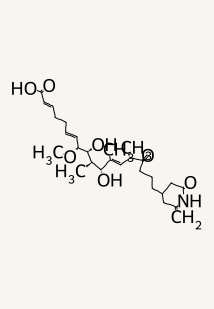 C=C1CC(CCCC(=O)[C@@H](C)/C=C(\C)[C@H](O)[C@@H](C)[C@H](O)[C@H](/C=C/CC/C=C/C(=O)O)OC)CC(=O)N1